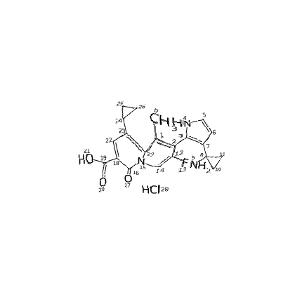 Cc1c(-c2[nH]ccc2C2(N)CC2)c(F)cn2c(=O)c(C(=O)O)cc(C3CC3)c12.Cl